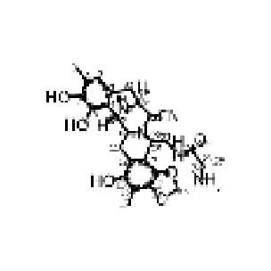 Cc1cc2c(c(O)c1O)[C@H]1C3Cc4c(O)c(C)c5c(c4[C@H](CNC(=O)[C@H](C)N)N3[C@@H](C#N)[C@H](C2)N1C)OCO5